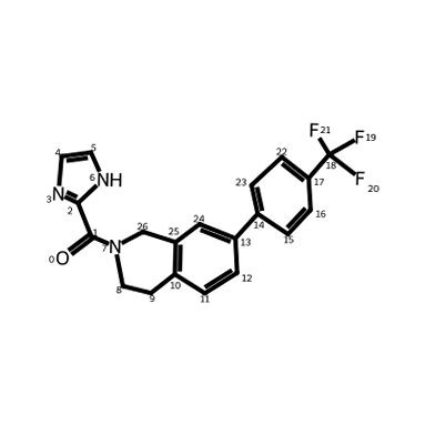 O=C(c1ncc[nH]1)N1CCc2ccc(-c3ccc(C(F)(F)F)cc3)cc2C1